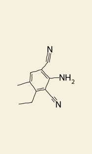 CCc1c(C)cc(C#N)c(N)c1C#N